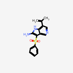 C=C(C)c1cncc2c(S(=O)(=O)c3ccccc3)c(N)[nH]c12